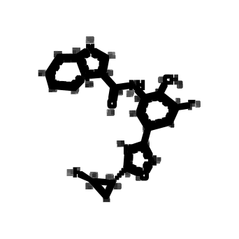 Cc1c(F)cc(-c2noc([C@@H]3C[C@H]3F)n2)cc1NC(=O)c1cnc2ccccn12